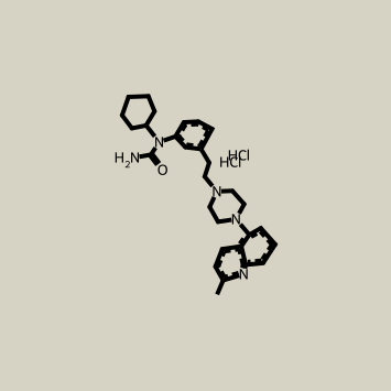 Cc1ccc2c(N3CCN(CCc4cccc(N(C(N)=O)C5CCCCC5)c4)CC3)cccc2n1.Cl.Cl